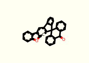 O=C1c2ccccc2C2(c3ccccc31)c1ccccc1-c1cc3c(cc12)oc1ccccc13